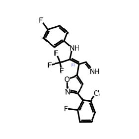 N=C/C(=C(\Nc1ccc(F)cc1)C(F)(F)F)c1cc(-c2c(F)cccc2Cl)no1